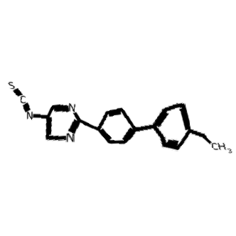 CCc1ccc(-c2ccc(-c3ncc(N=C=S)cn3)cc2)cc1